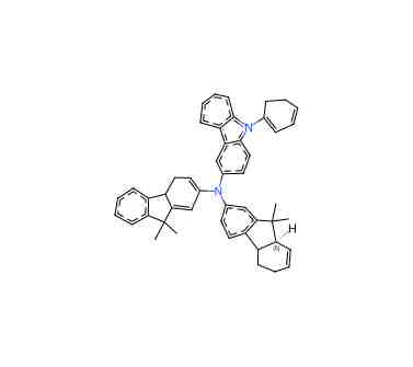 CC1(C)C2=CC(N(c3ccc4c(c3)C(C)(C)[C@H]3C=CCCC43)c3ccc4c(c3)c3ccccc3n4C3=CC=CCC3)=CCC2c2ccccc21